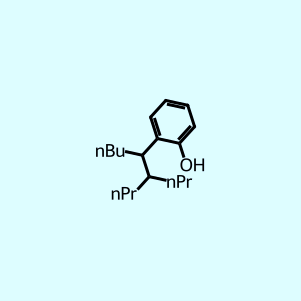 CCCCC(c1ccccc1O)C(CCC)CCC